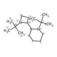 CC(C)(C)N1CCCCC1C1CCN1C(C)(C)C